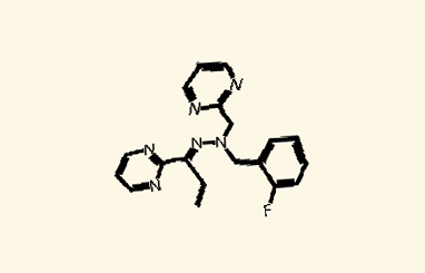 CC/C(=N\N(Cc1ncccn1)Cc1ccccc1F)c1ncccn1